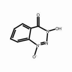 O=c1c2ccccc2[n+]([O-])nn1O